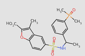 Cc1c(C(=O)O)oc2ccc(S(=O)(=O)NC(C)c3cccc(P(C)(C)=O)c3)cc12